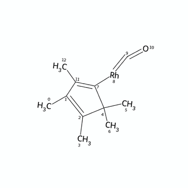 CC1=C(C)C(C)(C)[C]([Rh]=[C]=O)=C1C